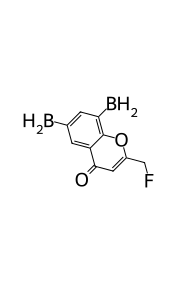 Bc1cc(B)c2oc(CF)cc(=O)c2c1